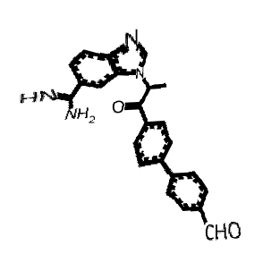 CC(C(=O)c1ccc(-c2ccc(C=O)cc2)cc1)n1cnc2ccc(C(=N)N)cc21